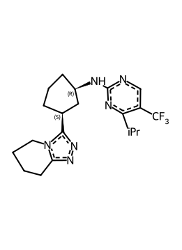 CC(C)c1nc(N[C@@H]2CCC[C@H](c3nnc4n3CCCC4)C2)ncc1C(F)(F)F